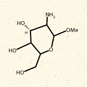 COC1OC(CO)C(O)[C@H](O)C1N